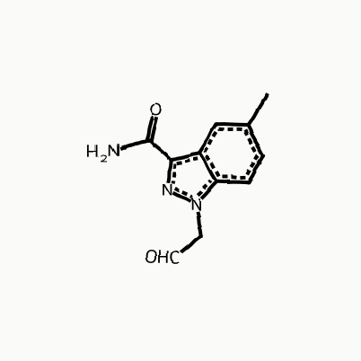 Cc1ccc2c(c1)c(C(N)=O)nn2CC=O